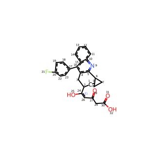 CCC(Cc1c(C2CC2)nc2ccccc2c1-c1ccc(F)cc1)/C(O)=C\C(=O)CC(=O)O